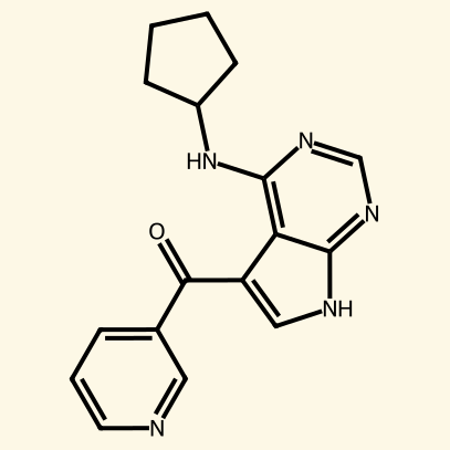 O=C(c1cccnc1)c1c[nH]c2ncnc(NC3CCCC3)c12